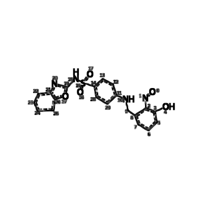 O=Nc1c(O)cccc1CNc1ccc(S(=O)(=O)Nc2nc3ccccc3o2)cc1